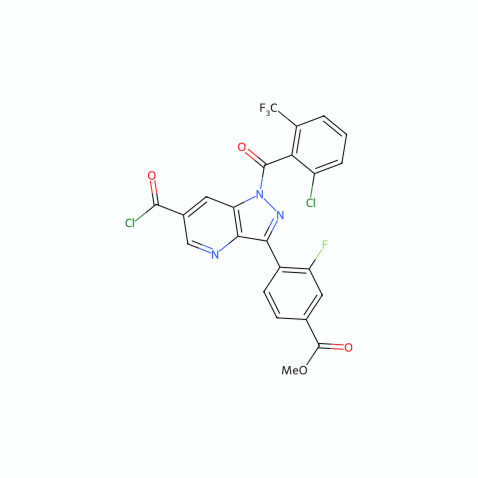 COC(=O)c1ccc(-c2nn(C(=O)c3c(Cl)cccc3C(F)(F)F)c3cc(C(=O)Cl)cnc23)c(F)c1